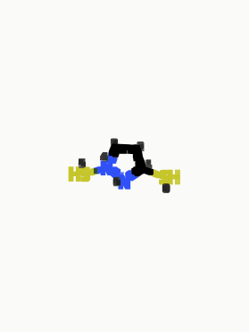 Sc1ccn(S)n1